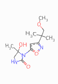 COCC(C)(C)c1cc(N2C(=O)NCC2(C)O)on1